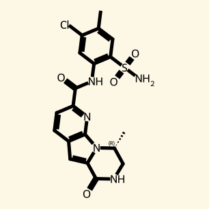 Cc1cc(S(N)(=O)=O)c(NC(=O)c2ccc3cc4n(c3n2)[C@H](C)CNC4=O)cc1Cl